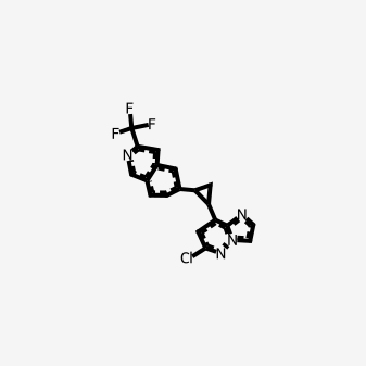 FC(F)(F)c1cc2cc(C3CC3c3cc(Cl)nn4ccnc34)ccc2cn1